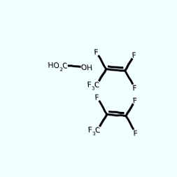 FC(F)=C(F)C(F)(F)F.FC(F)=C(F)C(F)(F)F.O=C(O)O